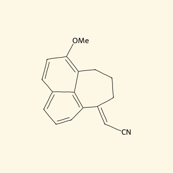 COc1ccc2cccc3c2c1CCCC3=CC#N